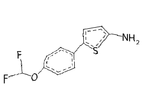 Nc1ccc(-c2ccc(OC(F)F)cc2)s1